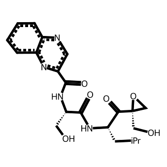 CC(C)C[C@H](NC(=O)[C@H](CO)NC(=O)c1cnc2ccccc2n1)C(=O)[C@]1(CO)CO1